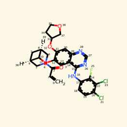 C=CC(=O)N1C[C@H]2C[C@@H](C1)C2Oc1cc2c(Nc3ccc(Cl)c(Cl)c3F)ncnc2cc1OC1CCOC1